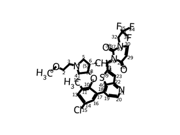 COCCN1C[C@H](C)[C@H](Oc2c(C)cc(Cl)cc2-c2ccnc3cc(Cn4c(=O)ccn(CC(F)(F)F)c4=O)sc23)C1